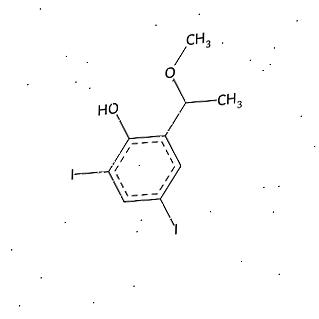 COC(C)c1cc(I)cc(I)c1O